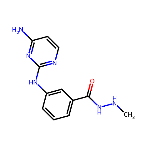 CNNC(=O)c1cccc(Nc2nccc(N)n2)c1